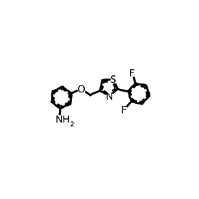 Nc1cccc(OCc2csc(-c3c(F)cccc3F)n2)c1